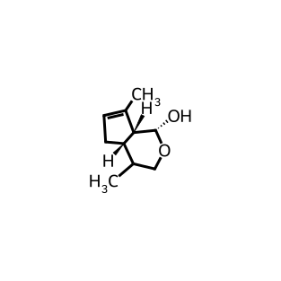 CC1=CC[C@H]2C(C)CO[C@@H](O)[C@@H]12